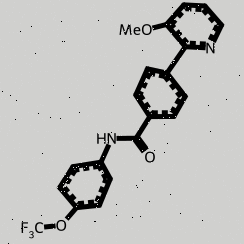 COc1cccnc1-c1ccc(C(=O)Nc2ccc(OC(F)(F)F)cc2)cc1